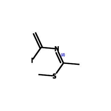 C=C(I)/N=C(/C)SC